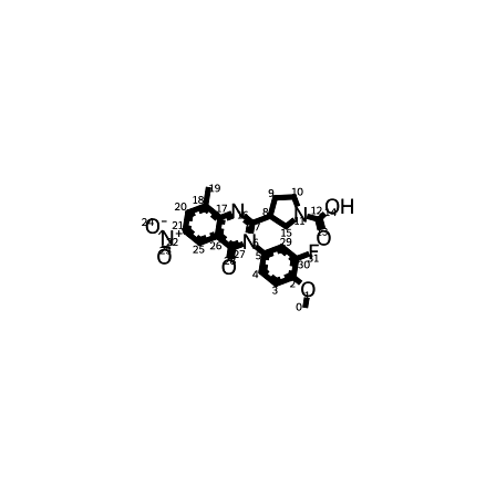 COc1ccc(-n2c(C3CCN(C(=O)O)C3)nc3c(C)cc([N+](=O)[O-])cc3c2=O)cc1F